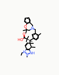 CCN1C2=C(NN1C)C(C)C(C)([C@H](c1ccc(C)c(CN3Cc4ccccc4OC(C)(C)C3)c1)C(C)(C)C(=O)O)C=C2